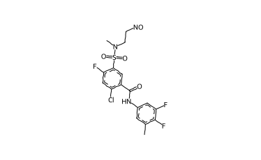 Cc1cc(NC(=O)c2cc(S(=O)(=O)N(C)CCN=O)c(F)cc2Cl)cc(F)c1F